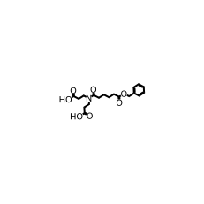 O=C(O)CCN(CCC(=O)O)C(=O)CCCCC(=O)OCc1ccccc1